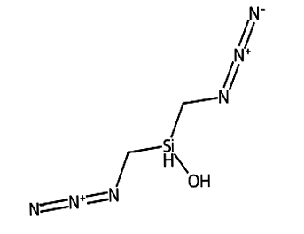 [N-]=[N+]=NC[SiH](O)CN=[N+]=[N-]